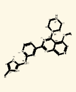 COc1cncc2nc(-c3ccnc(Nc4nc(C)co4)c3)nc(N3CCNCC3)c12